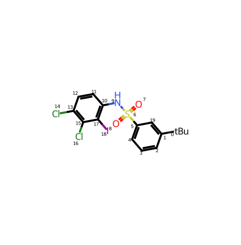 CC(C)(C)c1cccc(S(=O)(=O)Nc2ccc(Cl)c(Cl)c2I)c1